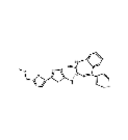 COCc1ccc(-c2nnc(N[C@H]3N=C(c4ccccc4)c4ccccc4NC3=O)o2)o1